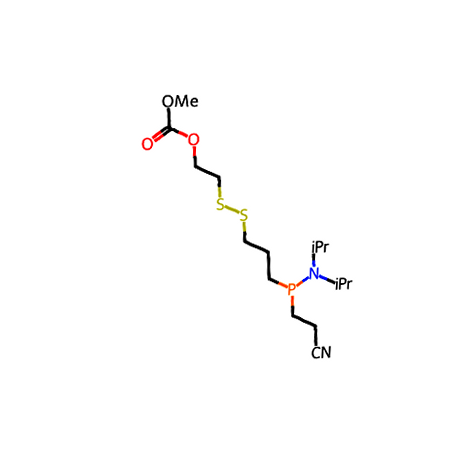 COC(=O)OCCSSCCCP(CCC#N)N(C(C)C)C(C)C